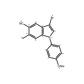 COc1ccc(-n2cc(Br)c3cc(C#N)c(C)cc32)cc1